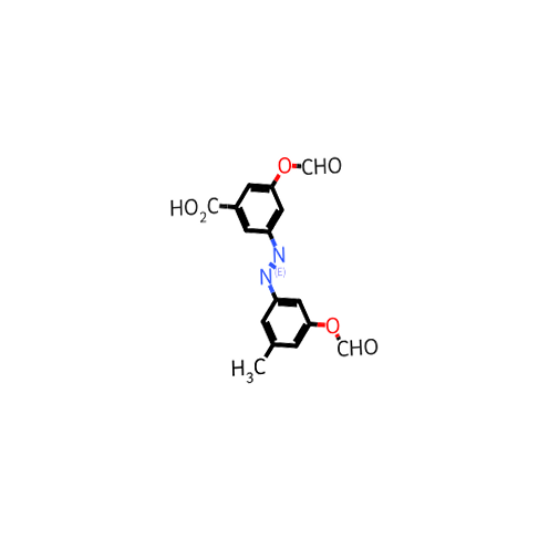 Cc1cc(/N=N/c2cc(OC=O)cc(C(=O)O)c2)cc(OC=O)c1